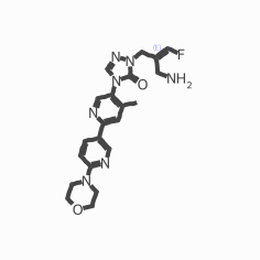 Cc1cc(-c2ccc(N3CCOCC3)nc2)ncc1-n1cnn(C/C(=C/F)CN)c1=O